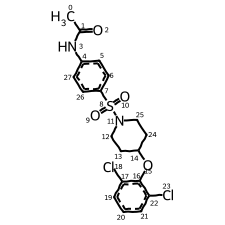 CC(=O)Nc1ccc(S(=O)(=O)N2CCC(Oc3c(Cl)cccc3Cl)CC2)cc1